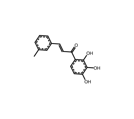 Cc1cccc(C=CC(=O)c2ccc(O)c(O)c2O)c1